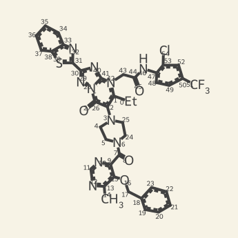 CCc1c(N2CCN(C(=O)c3ncnc(C)c3OCc3ccccc3)CC2)c(=O)n2nc(-c3nc4ccccc4s3)nc2n1CC(=O)Nc1ccc(C(F)(F)F)cc1Cl